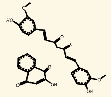 COc1cc(/C=C/C(=O)CC(=O)/C=C/c2ccc(O)c(OC)c2)ccc1O.O=C1C=C(O)C(=O)c2ccccc21